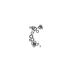 Cn1cc(-c2c[nH]nc(COc3ccc4ncc(OS(=O)(=O)C(F)(F)F)cc4c3)c2=O)cn1